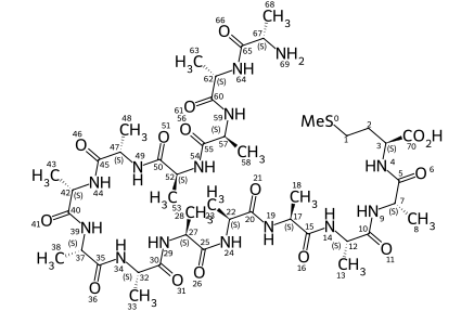 CSCC[C@H](NC(=O)[C@H](C)NC(=O)[C@H](C)NC(=O)[C@H](C)NC(=O)[C@H](C)NC(=O)[C@H](C)NC(=O)[C@H](C)NC(=O)[C@H](C)NC(=O)[C@H](C)NC(=O)[C@H](C)NC(=O)[C@H](C)NC(=O)[C@H](C)NC(=O)[C@H](C)NC(=O)[C@H](C)N)C(=O)O